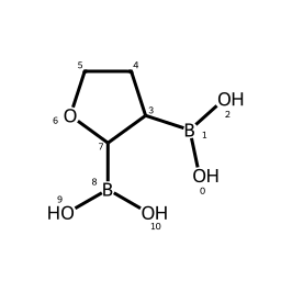 OB(O)C1CCOC1B(O)O